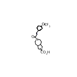 O=C(O)N1CC2CCN(C(=O)/C=C/c3ccc(OC(F)(F)F)cc3)CCC2C1